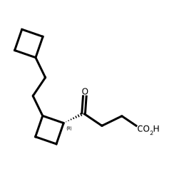 O=C(O)CCC(=O)[C@@H]1CCC1CCC1CCC1